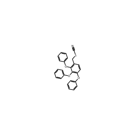 N#CSCc1ccc(Oc2ccccc2)c(Oc2ccccc2)c1Oc1ccccc1